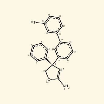 NC1=N[C@@](c2ccccc2)(c2cccc(-c3cccc(F)c3)c2)CO1